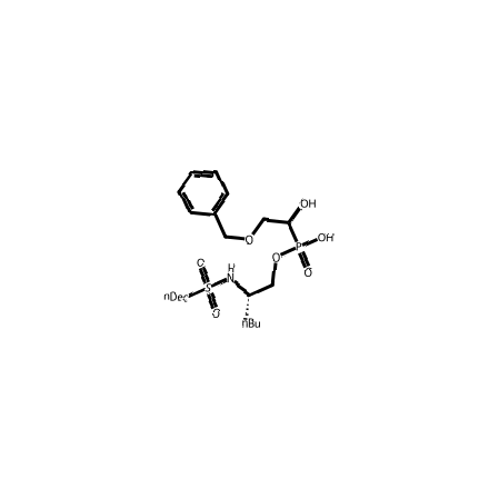 CCCCCCCCCCS(=O)(=O)N[C@@H](CCCC)COP(=O)(O)C(O)COCc1ccccc1